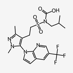 Cc1nn(C)c(-n2ccc3cc(C(F)(F)F)cnc32)c1CCS(=O)(=O)N(CC(C)C)C(=O)O